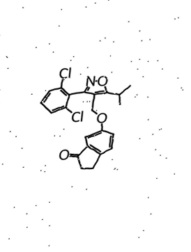 CC(C)c1onc(-c2c(Cl)cccc2Cl)c1COc1ccc2c(c1)C(=O)CC2